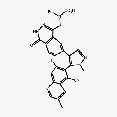 Cc1cnc2cc(F)c(-c3c(-c4ccc5c(=O)[nH]nc(CN(C(=O)O)C(C)(C)C)c5c4)cnn3C)c(C#N)c2c1